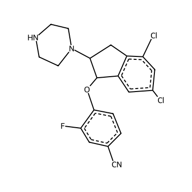 N#Cc1ccc(OC2c3cc(Cl)cc(Cl)c3CC2N2CCNCC2)c(F)c1